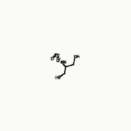 O.OCC(O)CO.[O]=[Pb]